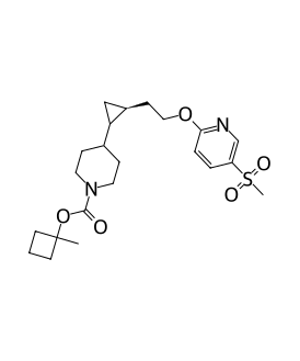 CC1(OC(=O)N2CCC(C3C[C@H]3CCOc3ccc(S(C)(=O)=O)cn3)CC2)CCC1